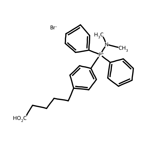 CN(C)[P+](c1ccccc1)(c1ccccc1)c1ccc(CCCCC(=O)O)cc1.[Br-]